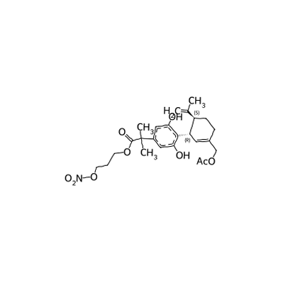 C=C(C)[C@H]1CCC(COC(C)=O)=C[C@@H]1c1c(O)cc(C(C)(C)C(=O)OCCCO[N+](=O)[O-])cc1O